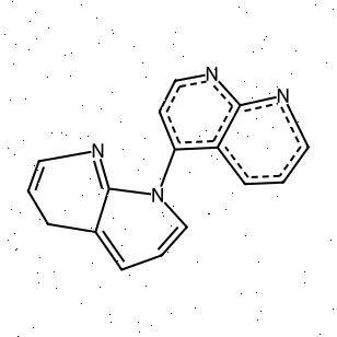 C1=CN(c2ccnc3ncccc23)C2=NC=CCC2=C1